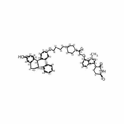 Cn1nc(C2CCC(=O)NC2=O)c2cccc(OCC(=O)N3CCN(CCCCOc4ccc([C@@H]5c6ccc(O)cc6CC[C@@H]5c5ccccc5)cc4)CC3)c21